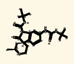 C[C@H]1C[C@]2(CCO1)C(=O)N(C(=O)OC(C)(C)C)c1cc(NC(=O)OC(C)(C)C)ccc12